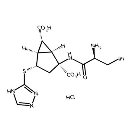 CC(C)C[C@H](N)C(=O)N[C@@]1(C(=O)O)C[C@H](Sc2nnc[nH]2)[C@H]2[C@H](C(=O)O)[C@H]21.Cl